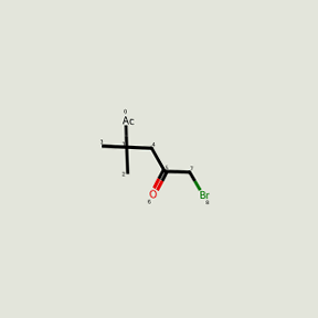 CC(=O)C(C)(C)CC(=O)CBr